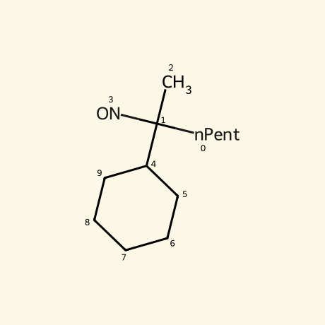 CCCCCC(C)(N=O)C1CCCCC1